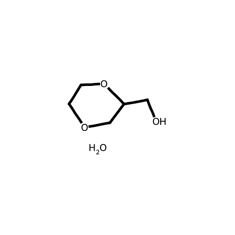 O.OCC1COCCO1